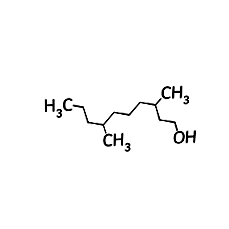 CCCC(C)CCCC(C)CCO